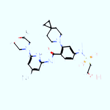 C[C@@H]1CN(c2cc(C#N)cc(NC(=O)c3ccc(NS(=O)(=O)CCO)cc3N3CCC4(CC3)CC4)n2)CCO1